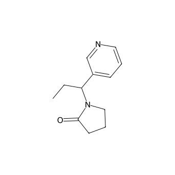 CCC(c1cccnc1)N1CCCC1=O